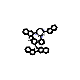 C1=C(c2ccc3ccccc3c2)/N=C(c2ccccc2)\N=C(\c2cc3ccccc3c3oc4cc(-n5c6cc7ccccc7cc6c6ccc7ccccc7c65)ccc4c23)CC\1